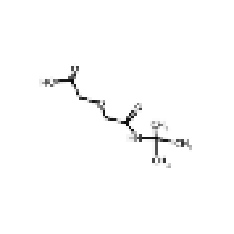 CC(C)(C)NC(=O)COCC(=O)O